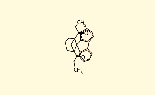 CCC(=O)C12CCCC(C(=O)CC)(CC1)C21c2ccccc2-c2ccccc21